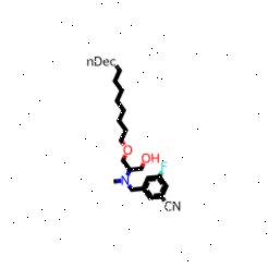 CCCCCCCCCCCCCCCCCCOCC(CO)N(C)Cc1cc(F)cc(C#N)c1